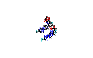 C[C@@H]1CN(c2ncc(F)cn2)CCN1[C@H](C)c1nc2c(cc1F)OCC([C@@H](c1nc3c(cc1F)OCCO3)N1CCN(c3ncc(F)cn3)C[C@H]1C)O2